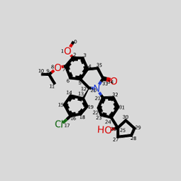 COc1cc2c(cc1OC(C)C)[C@H](c1ccc(Cl)cc1)N(c1ccc(C3(O)CCCC3)cc1)C(=O)C2